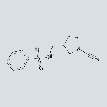 N#CN1CCC(CNS(=O)(=O)c2ccccc2)C1